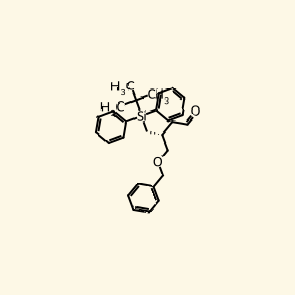 CC(C)(C)[Si](C[C@H](CC=O)COCc1ccccc1)(c1ccccc1)c1ccccc1